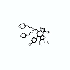 Cc1sc2c(c1C)C(c1ccc(Cl)cc1)=NC(CN(CCCN1CCOCC1)CCCN1CCOCC1)c1nnc(C)n1-2